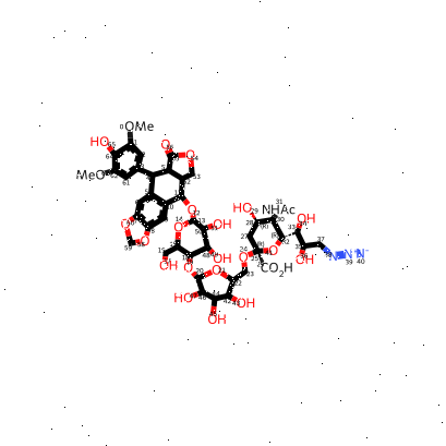 COc1cc(C2c3cc4c(cc3C(OC3OC(CO)C(OC5OC(CO[C@]6(C(=O)O)C[C@@H](O)C(NC(C)=O)[C@H](C(O)C(O)CN=[N+]=[N-])O6)C(O)C(O)C5O)C(O)C3O)C3COC(=O)C23)OCO4)cc(OC)c1O